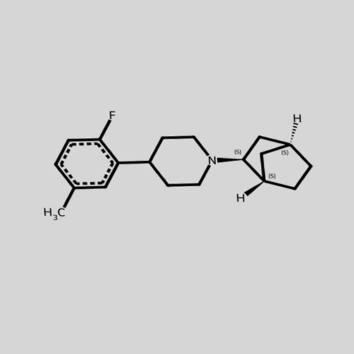 Cc1ccc(F)c(C2CCN([C@H]3C[C@H]4CC[C@H]3C4)CC2)c1